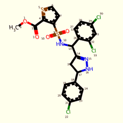 COC(=O)c1sccc1S(=O)(=O)NC(C1=NNC(c2ccc(Cl)cc2)C1)c1ccc(Cl)cc1Cl